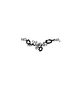 O=C(CNS(=O)(=O)c1ccccc1C(=O)NCc1ccc([N+](=O)[O-])cc1)Nc1ccc(O)cc1